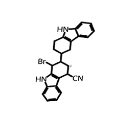 N#CC1[C]C(C2CCc3[nH]c4ccccc4c3C2)C(Br)c2[nH]c3ccccc3c21